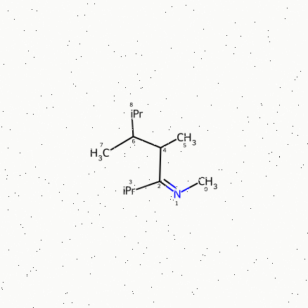 C/N=C(/C(C)C)C(C)C(C)C(C)C